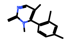 C=C1N=CC(C)=C(c2ccc(C)cc2C)N1C